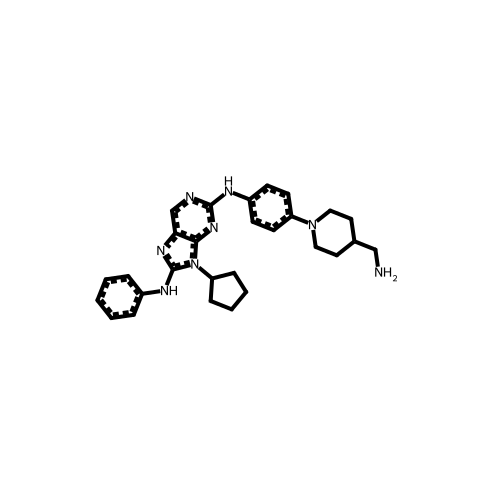 NCC1CCN(c2ccc(Nc3ncc4nc(Nc5ccccc5)n(C5CCCC5)c4n3)cc2)CC1